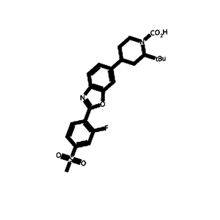 CC(C)(C)C1CC(c2ccc3nc(-c4ccc(S(C)(=O)=O)cc4F)oc3c2)CCN1C(=O)O